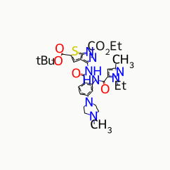 CCOC(=O)n1nc(NC(=O)c2ccc(N3CCN(C)CC3)cc2NC(=O)c2cc(C)nn2CC)c2cc(C(=O)OC(C)(C)C)sc21